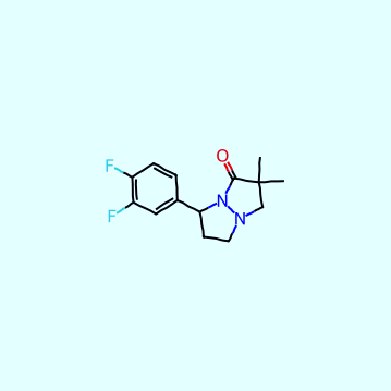 CC1(C)CN2CCC(c3ccc(F)c(F)c3)N2C1=O